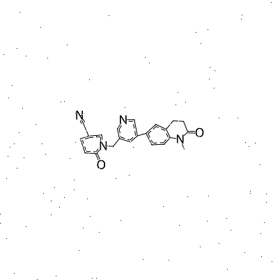 CN1C(=O)CCc2cc(-c3cncc(Cn4cc(C#N)ccc4=O)c3)ccc21